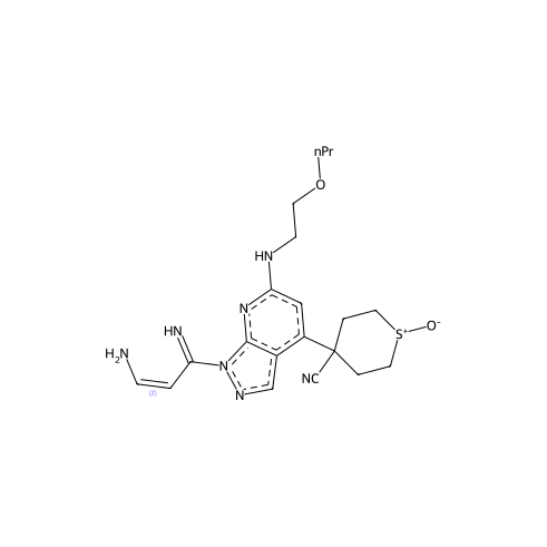 CCCOCCNc1cc(C2(C#N)CC[S+]([O-])CC2)c2cnn(C(=N)/C=C\N)c2n1